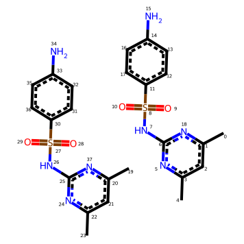 Cc1cc(C)nc(NS(=O)(=O)c2ccc(N)cc2)n1.Cc1cc(C)nc(NS(=O)(=O)c2ccc(N)cc2)n1